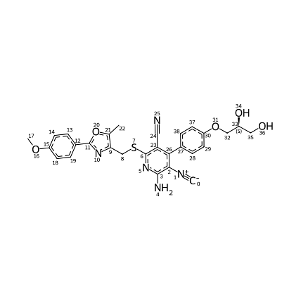 [C-]#[N+]c1c(N)nc(SCc2nc(-c3ccc(OC)cc3)oc2C)c(C#N)c1-c1ccc(OC[C@@H](O)CO)cc1